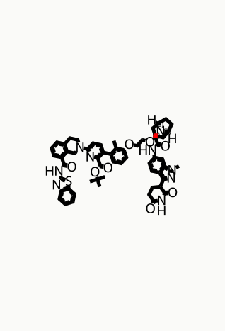 Cc1c(OCCO[C@@H]2C[C@H]3CC[C@@H](C2)N3CC(=O)Nc2ccc3c(C4CCC(=O)NC4=O)nn(C)c3c2)cccc1-c1ccc(N2CCc3cccc(C(=O)Nc4nc5ccccc5s4)c3C2)nc1C(=O)OC(C)(C)C